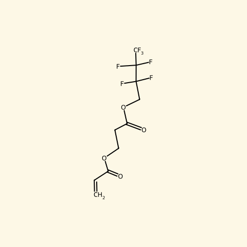 C=CC(=O)OCCC(=O)OCC(F)(F)C(F)(F)C(F)(F)F